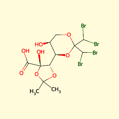 CC1(C)O[C@@H]([C@@H]2OC(C(Br)Br)(C(Br)Br)OC[C@@H]2O)[C@@](O)(C(=O)O)O1